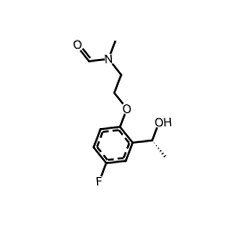 C[C@@H](O)c1cc(F)ccc1OCCN(C)C=O